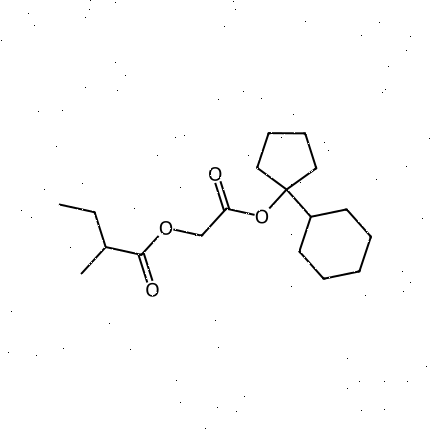 CCC(C)C(=O)OCC(=O)OC1(C2CCCCC2)CCCC1